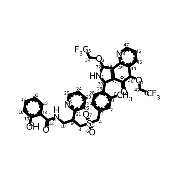 Cc1cc(CS(=O)(=O)CC(CNC(=O)c2ccccc2O)c2ccccn2)ccc1C1NC(OCC(F)(F)F)C2=C1C(=O)C(OCC(F)(F)F)c1cccnc12